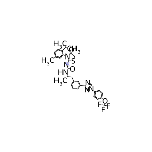 Cc1ccc(C(C)C)c(N2C(=O)CS/C2=N\C(=O)NC(C)Cc2cccc(-c3ncn(-c4ccc(OC(F)(F)F)cc4)n3)c2)c1